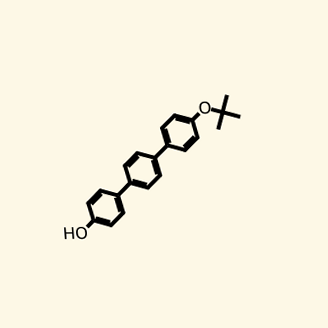 CC(C)(C)Oc1ccc(-c2ccc(-c3ccc(O)cc3)cc2)cc1